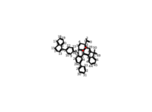 C=C(C)c1ccc(N(c2ccc(-c3cccc4ccccc34)cc2)c2ccc(-c3ccccc3)cc2-c2cccc3c2-c2ccccc2C3(C)C)cc1